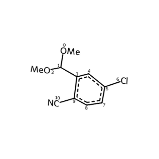 COC(OC)c1cc(Cl)ccc1C#N